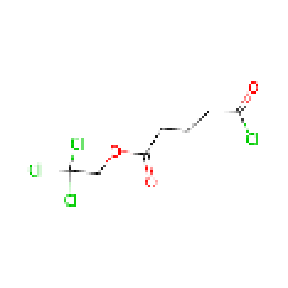 O=C(Cl)CCCC(=O)OCC(Cl)(Cl)Cl